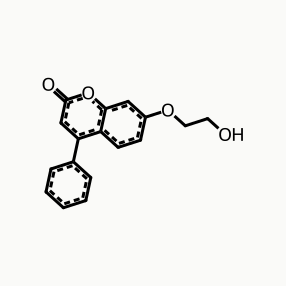 O=c1cc(-c2ccccc2)c2ccc(OCCO)cc2o1